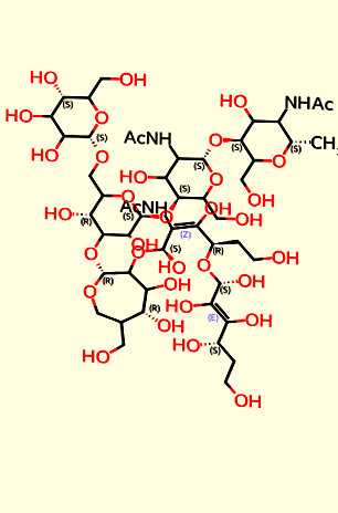 CC(=O)N/C(=C(\O)[C@@H](CCO)O[C@H](O)/C(O)=C(\O)[C@@H](O)CCO)[C@@H](O)OC1C(O)[C@H](O)C(CO)CO[C@@H]1OC1C(O)[C@H](O[C@@H]2C(CO)O[C@@H](O[C@@H]3C(CO)O[C@@H](C)C(NC(C)=O)C3O)C(NC(C)=O)C2O)OC(CO[C@H]2OC(CO)[C@@H](O)C(O)C2O)[C@H]1O